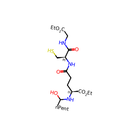 CCCCCC(O)N[C@@H](CCC(=O)N[C@@H](CS)C(=O)NCC(=O)OCC)C(=O)OCC